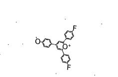 COc1ccc(-c2cc(-c3ccc(F)cc3)[o+]c(-c3ccc(F)cc3)c2)cc1